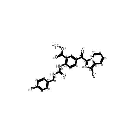 COC(=O)c1cc(C(=O)c2nc(Br)c3ccccn23)ccc1NC(=O)NCc1ccc(F)cc1